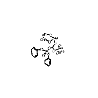 CCCOP(=O)(OCCC)OC(OP(=O)(Oc1ccccc1)Oc1ccccc1)OP([O])(=S)OC